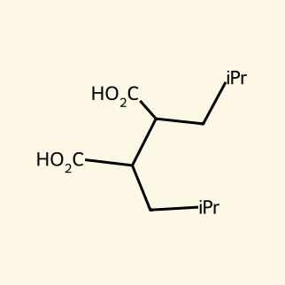 CC(C)CC(C(=O)O)C(CC(C)C)C(=O)O